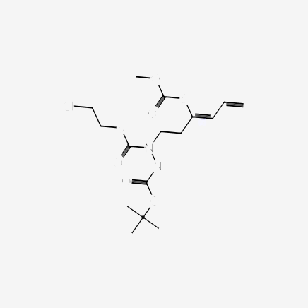 C=C/C=C(/CCN(NC(=O)OC(C)(C)C)C(=O)SCCCl)SC(=O)OC